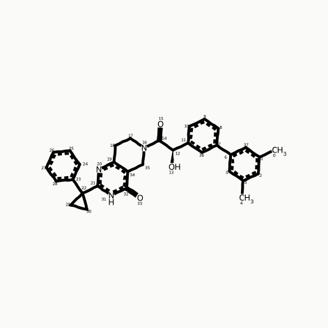 Cc1cc(C)cc(-c2cccc([C@@H](O)C(=O)N3CCc4nc(C5(c6ccccc6)CC5)[nH]c(=O)c4C3)c2)c1